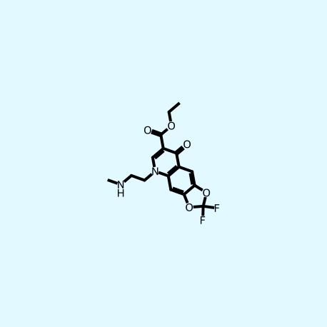 CCOC(=O)c1cn(CCNC)c2cc3c(cc2c1=O)OC(F)(F)O3